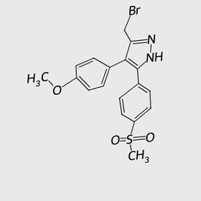 COc1ccc(-c2c(CBr)n[nH]c2-c2ccc(S(C)(=O)=O)cc2)cc1